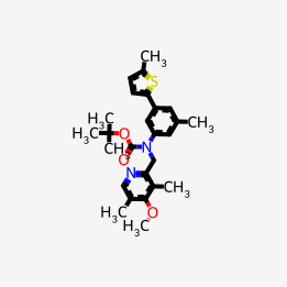 COc1c(C)cnc(CN(C(=O)OC(C)(C)C)c2cc(C)cc(-c3ccc(C)s3)c2)c1C